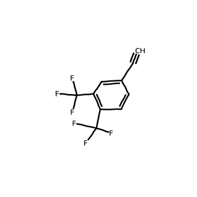 C#Cc1ccc(C(F)(F)F)c(C(F)(F)F)c1